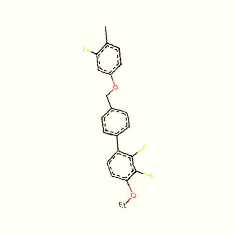 CCOc1ccc(-c2ccc(COc3ccc(C)c(F)c3)cc2)c(F)c1F